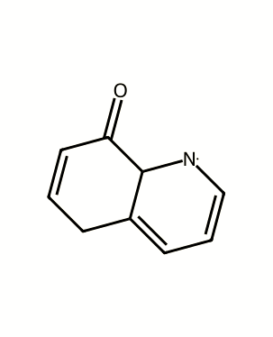 O=C1C=CCC2=CC=C[N]C12